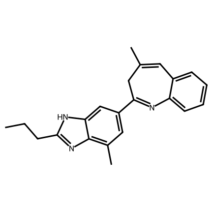 CCCc1nc2c(C)cc(C3=Nc4ccccc4C=C(C)C3)cc2[nH]1